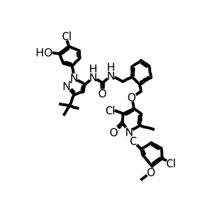 COc1cc(Cn2c(C)cc(OCc3ccccc3CNC(=O)Nc3cc(C(C)(C)C)nn3-c3ccc(Cl)c(O)c3)c(Cl)c2=O)ccc1Cl